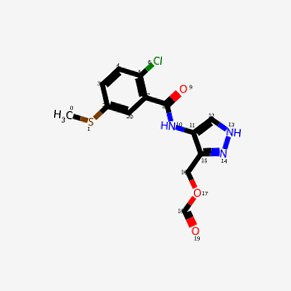 CSc1ccc(Cl)c(C(=O)Nc2c[nH]nc2COC=O)c1